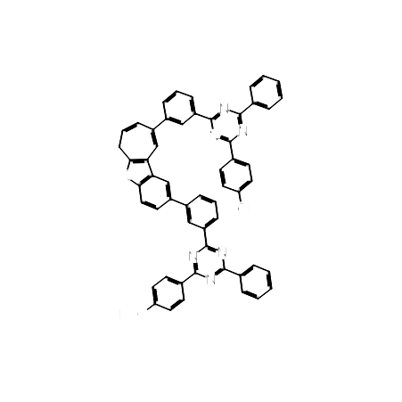 Cc1ccc(-c2nc(-c3ccccc3)nc(-c3cccc(C4=Cc5c(sc6ccc(-c7cccc(-c8nc(-c9ccccc9)nc(-c9ccc(C)cc9)n8)c7)cc56)CC=C4)c3)n2)cc1